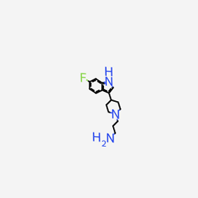 NCCCN1CCC(c2c[nH]c3cc(F)ccc23)CC1